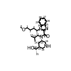 COCCCCn1c(C(=O)N(CC(C)C)[C@@H]2CNCC([C@H](C)O)C2)nc2ccccc21